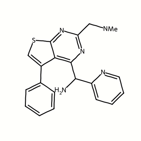 CNCc1nc(C(N)c2ccccn2)c2c(-c3ccccc3)csc2n1